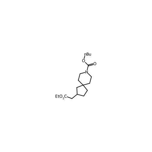 CCCCOC(=O)N1CCC2(CCC(CC(=O)OCC)C2)CC1